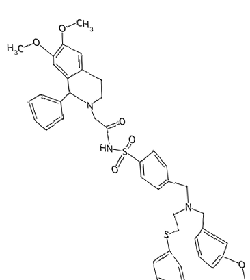 COc1cccc(CN(CCSc2ccccc2)Cc2ccc(S(=O)(=O)NC(=O)CN3CCc4cc(OC)c(OC)cc4C3c3ccccc3)cc2)c1